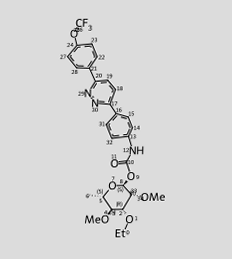 CCO[C@@H]1[C@@H](OC)[C@H](C)O[C@@H](OC(=O)Nc2ccc(-c3ccc(-c4ccc(OC(F)(F)F)cc4)nn3)cc2)[C@@H]1OC